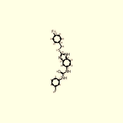 O=C(Nc1cccc(F)c1)Nc1ccc2[nH]c(SCc3ccc(F)cc3)nc2c1